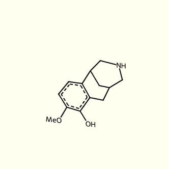 COc1ccc2c(c1O)CC1CNCC2C1